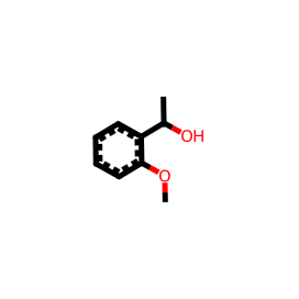 COc1ccccc1[C](C)O